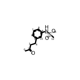 CC(=O)CCc1cccc(NS(C)(=O)=O)c1